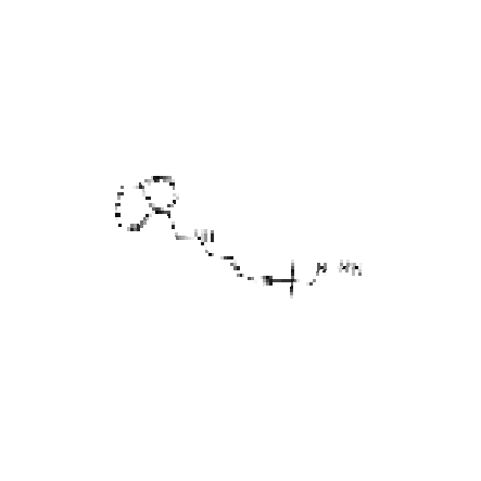 CC(C)(C#C/C=C/CNCc1cccc2ccccc12)CN=[N+]=[N-]